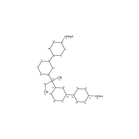 CCCCCCCC1CCC(C2CCCC(C(C#N)(CC#N)C3CCCC(C4CCC(CCCCCC)CC4)C3)C2)CC1